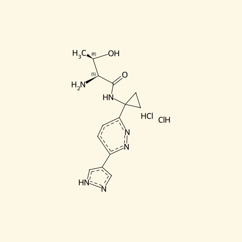 C[C@@H](O)[C@H](N)C(=O)NC1(c2ccc(-c3cn[nH]c3)nn2)CC1.Cl.Cl